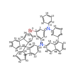 Brc1cc(N(c2ccccc2)c2ccccc2)cc(N(c2ccc3c(c2)C2(c4ccccc4-c4ccccc42)c2ccccc2-3)c2ccc3ccccc3c2)c1